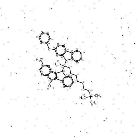 Cc1ccc2c(c1)c1c(n2C)-c2ccccc2C1[Si](C)(CCCCCCOC(C)(C)C)C1c2ccccc2-c2ccc(Cc3ccccc3)cc21